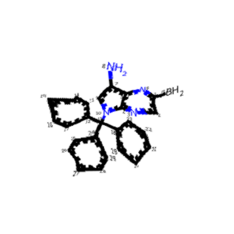 Bc1cnc2c(n1)c(N)cn2C(c1ccccc1)(c1ccccc1)c1ccccc1